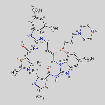 CCc1nc(C)sc1C(=O)Nc1nc2cc(C(=O)O)cc(OCCCN3CCOCC3)c2n1CC=CCn1c(NC(=O)c2sc(C)nc2CC)nc2cc(C(=O)O)cc(SC)c21